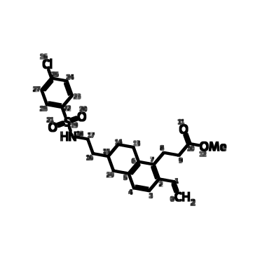 C=Cc1ccc2c(c1CCC(=O)OC)CCC(CCNS(=O)(=O)c1ccc(Cl)cc1)C2